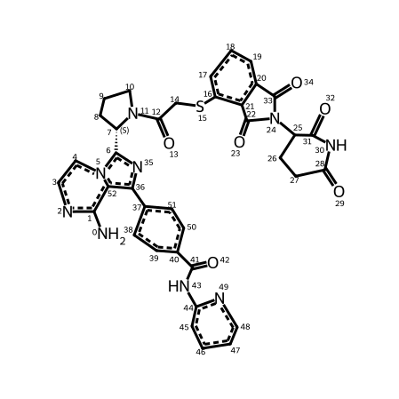 Nc1nccn2c([C@@H]3CCCN3C(=O)CSc3cccc4c3C(=O)N(C3CCC(=O)NC3=O)C4=O)nc(-c3ccc(C(=O)Nc4ccccn4)cc3)c12